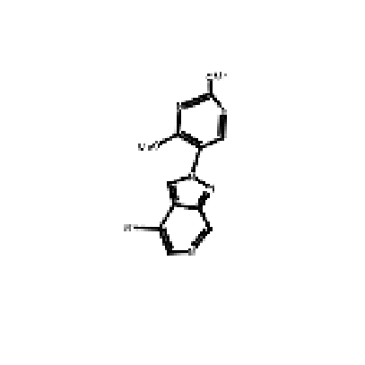 COc1ncc(-n2cc3c(Br)cncc3n2)c(OC)n1